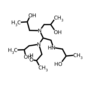 CC(O)CNCC(N(CC(C)O)CC(C)O)N(CC(C)O)CC(C)O